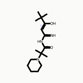 CC(C)(C)/C(O)=C/C(=N)NC(=O)C(C)(C)N1CCCCC1